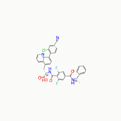 C[C@H](NC(=O)c1cc(F)c(C(=O)N[C@@H](Cc2ccc(-c3ccc(C#N)cc3Cl)c3ncccc23)C(=O)O)c(F)c1)c1ccccc1